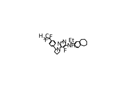 CCC(Nc1ncnc(N2CCCC2c2ccc(C(C)(F)F)cc2)c1F)c1ccc2c(c1)CCCCC2